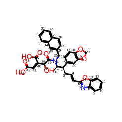 C[C@H]([C@H](CC=Cc1nc2ccccc2o1)c1ccc2c(c1)OCO2)N(Cc1ccc2ccccc2c1)C(=O)C(O)C(=CC(=O)O)C(=O)O